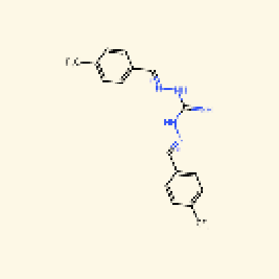 N=C(N/N=C/c1ccc(C(F)(F)F)cc1)N/N=C/c1ccc(C(F)(F)F)cc1